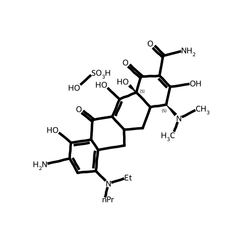 CCCN(CC)c1cc(N)c(O)c2c1CC1CC3[C@H](N(C)C)C(O)=C(C(N)=O)C(=O)[C@@]3(O)C(O)=C1C2=O.O=S(=O)(O)O